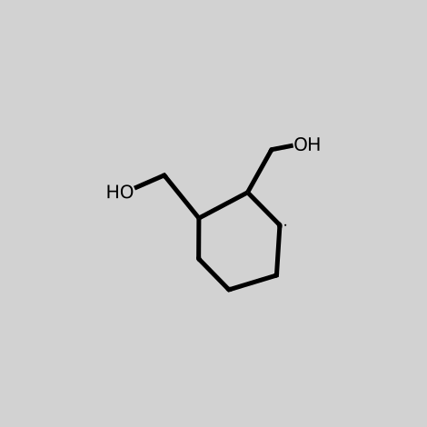 OCC1[CH]CCCC1CO